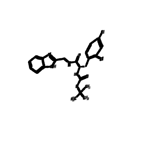 CC(C)(C)OC(=O)N[C@@H](Cc1ccc(Cl)cc1Cl)C(=O)NCc1nc2ccccc2[nH]1